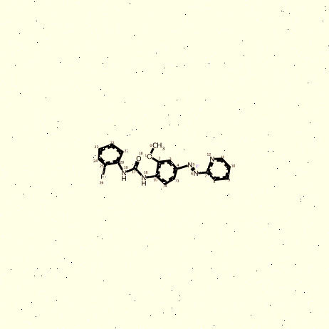 COc1cc(/N=N/c2ccccn2)ccc1NC(=O)Nc1ccccc1F